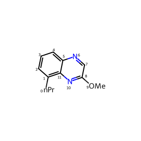 CCCc1cccc2ncc(OC)nc12